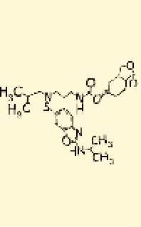 CC(C)CN(CCCNC(=O)O[C@H]1CC2COC3OC1CC23)Sc1ccc2nc(NC(C)C)oc2c1